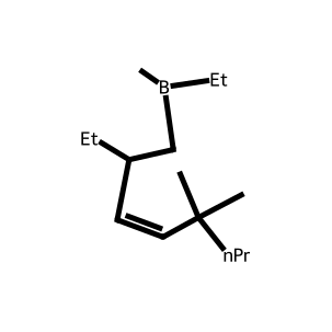 CCCC(C)(C)/C=C\C(CC)CB(C)CC